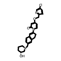 O=c1cc(OCc2ccc(Cl)cn2)ccn1C1=Cc2ccc(CN3CCC[C@@H](O)C3)cc2CC1